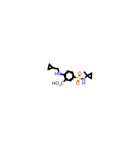 CC1(NS(=O)(=O)c2ccc(NCC3CC3)c(C(=O)O)c2)CC1